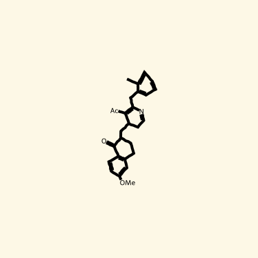 COc1ccc2c(c1)CCC(CC1CC=NC(Cc3ccccc3C)=C1C(C)=O)C2=O